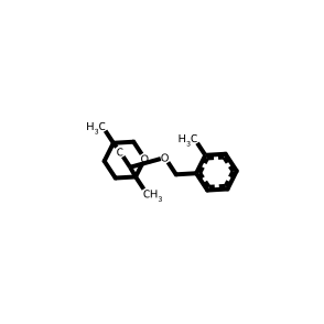 Cc1ccccc1COC1CC2(C)CCC1(C)OC2